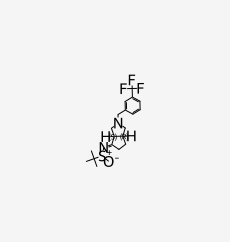 CC(C)(C)[S+]([O-])N=C1CC[C@H]2CN(Cc3cccc(C(F)(F)F)c3)C[C@@H]12